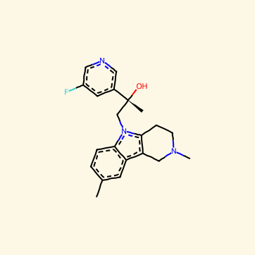 Cc1ccc2c(c1)c1c(n2C[C@@](C)(O)c2cncc(F)c2)CCN(C)C1